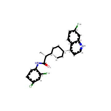 C[C@@H](C(=O)Nc1ccc(Cl)cc1F)[C@H]1CC[C@@H](c2ccnc3cc(F)ccc32)CC1